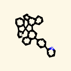 c1ccc(-c2ccc(-c3cc4c(c5ccccc35)C3(c5ccccc5-c5ccccc53)c3c-4c4ccccc4c4ccccc34)cc2)nc1